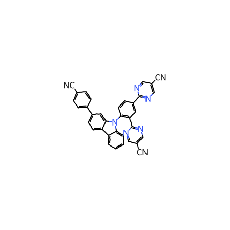 N#Cc1ccc(-c2ccc3c4ccccc4n(-c4ccc(-c5ncc(C#N)cn5)cc4-c4ncc(C#N)cn4)c3c2)cc1